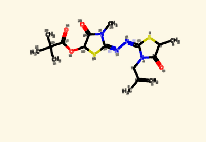 C=C(C)CN1C(=O)C(C)S/C1=N/N=C1/SC(OC(=O)C(C)(C)C)C(=O)N1C